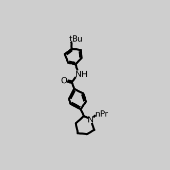 CCCN1CCCCC1c1ccc(C(=O)Nc2ccc(C(C)(C)C)cc2)cc1